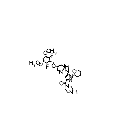 COc1cc(OC)c(F)c(COc2cnc(Nc3cc(C(=O)N4CCNCC4)nn3C3CCCCO3)nc2)c1F